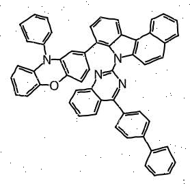 c1ccc(-c2ccc(-c3nc(-n4c5ccc6ccccc6c5c5cccc(-c6ccc7c(c6)N(c6ccccc6)c6ccccc6O7)c54)nc4ccccc34)cc2)cc1